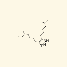 CCC(C)CCCCc1nn[nH]c1CCCCC(C)C